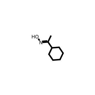 CC(=NO)C1CCCCC1